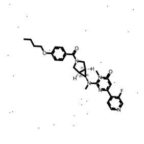 CCCCOc1ccc(C(=O)N2C[C@@H]3[C@H](C2)[C@@H]3N(C)c2nc(-c3ccncc3F)cc(=O)n2C)cc1